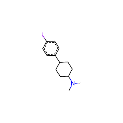 CN(C)C1CCC(c2ccc(I)cc2)CC1